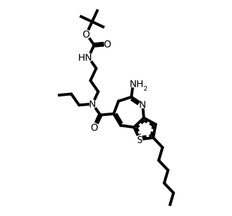 CCCCCCc1cc2c(s1)C=C(C(=O)N(CCC)CCCNC(=O)OC(C)(C)C)CC(N)=N2